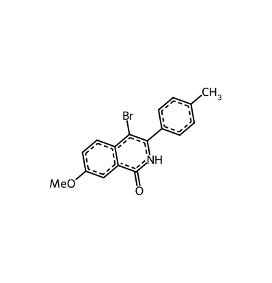 COc1ccc2c(Br)c(-c3ccc(C)cc3)[nH]c(=O)c2c1